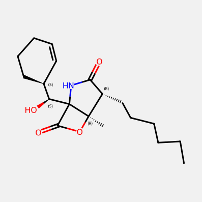 CCCCCC[C@H]1C(=O)NC2([C@@H](O)[C@@H]3C=CCCC3)C(=O)O[C@]12C